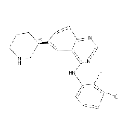 Fc1c(Cl)cccc1Nc1ncnc2ccc([C@@H]3CCCNC3)cc12